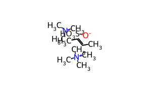 CC=CC.CN(C)C.C[N+](C)(C)C.O=S(=O)([O-])O